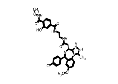 CONC(=O)c1ccc(C(=O)NCCNC(=O)C[C@@H]2N=C(c3ccc(Cl)cc3)c3cc(OC)ccc3N3C(C)NNC23)cc1O